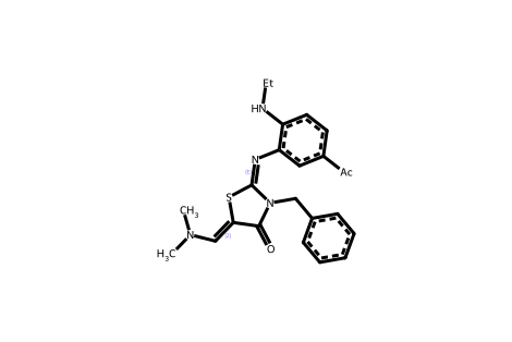 CCNc1ccc(C(C)=O)cc1/N=C1/S/C(=C\N(C)C)C(=O)N1Cc1ccccc1